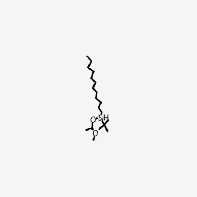 CCCCCCCCCCCC[SiH](OC(C)OC)C(C)(C)C